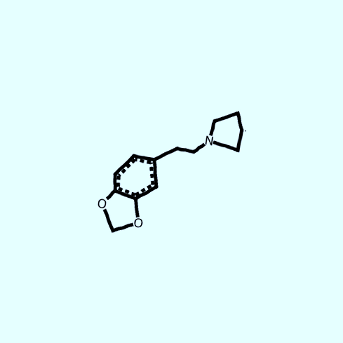 [CH]1CCN(CCc2ccc3c(c2)OCO3)C1